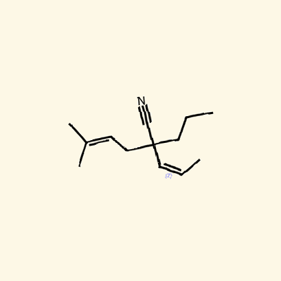 C/C=C\C(C#N)(CC=C(C)C)CCC